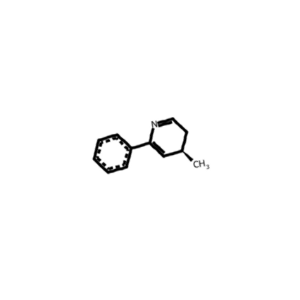 C[C@H]1C=C(c2ccccc2)N=CC1